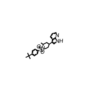 CC1CC(c2c[nH]c3ncccc23)CCN1S(=O)(=O)c1ccc(C(C)(C)C)cc1